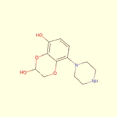 Oc1ccc(N2CCNCC2)c2c1OC(O)CO2